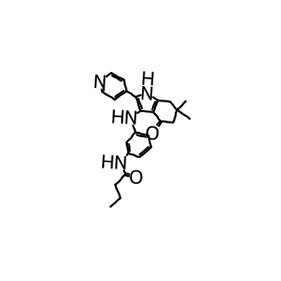 CCCC(=O)Nc1cccc(Nc2c(-c3ccncc3)[nH]c3c2C(=O)CC(C)(C)C3)c1